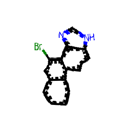 Brc1cc2ccccc2c2ccc3[nH]cnc3c12